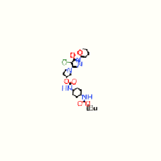 CC(C)(C)OC(=O)NC1CCC(NC(=O)O[C@@H]2CCN(c3cnn(C4CCCCO4)c(=O)c3Cl)C2)CC1